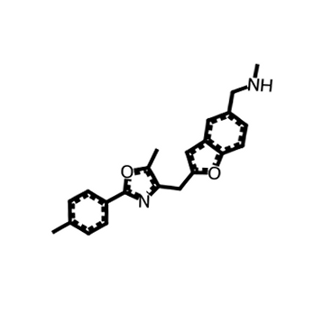 CNCc1ccc2oc(Cc3nc(-c4ccc(C)cc4)oc3C)cc2c1